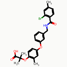 Cc1ccc(C(=O)NCc2cccc(Oc3ccc(OC(C)(C)C(=O)O)c(C)c3)c2)c(Br)c1